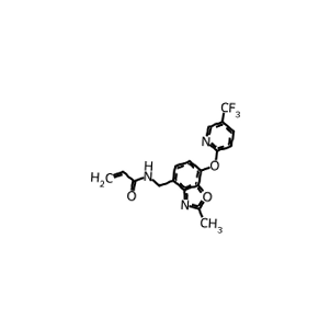 C=CC(=O)NCc1ccc(Oc2ccc(C(F)(F)F)cn2)c2oc(C)nc12